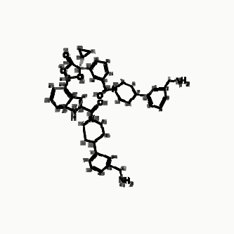 NCc1cccc(C2CCN(C(=O)c3cccc([C@@]4(C5CC5)OB(c5cccc6[nH]c(C(=O)N7CCC(c8cccc(CN)c8)CC7)cc56)OC4=O)c3)CC2)c1